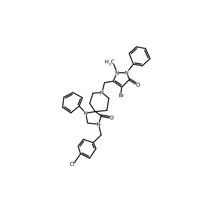 Cn1c(CN2CCC3(CC2)C(=O)N(Cc2ccc(Cl)cc2)CN3c2ccccc2)c(Br)c(=O)n1-c1ccccc1